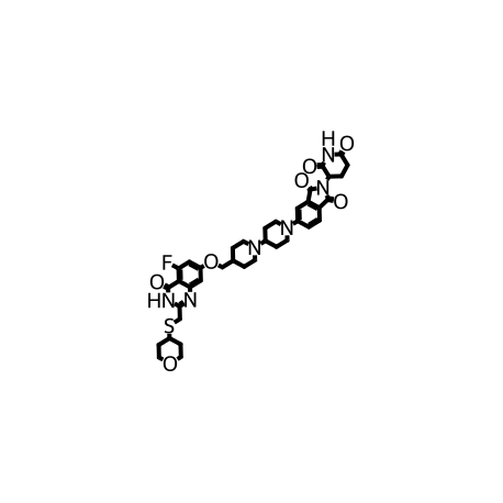 O=C1CCC(N2C(=O)c3ccc(N4CCC(N5CCC(COc6cc(F)c7c(=O)[nH]c(CSC8CCOCC8)nc7c6)CC5)CC4)cc3C2=O)C(=O)N1